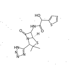 CC1(C)S[C@@H]2C(NC(=O)C(O)c3cccs3)C(=O)N2C1c1nnn[nH]1